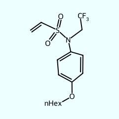 C=CS(=O)(=O)N(CC(F)(F)F)c1ccc(OCCCCCC)cc1